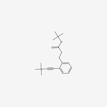 CC(C)(C)OC(=O)CCc1ccccc1C#C[Si](C)(C)C